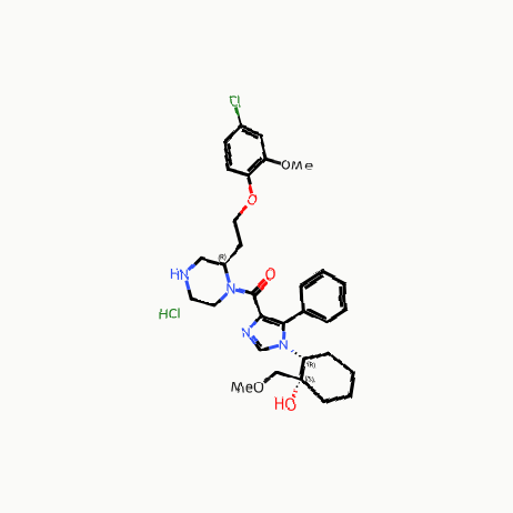 COC[C@]1(O)CCCC[C@H]1n1cnc(C(=O)N2CCNC[C@H]2CCOc2ccc(Cl)cc2OC)c1-c1ccccc1.Cl